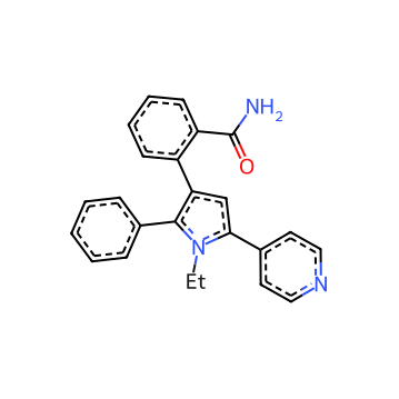 CCn1c(-c2ccncc2)cc(-c2ccccc2C(N)=O)c1-c1ccccc1